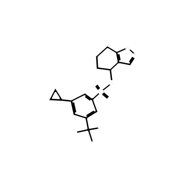 O=S(=O)(NC1CCCc2[nH]ncc21)c1cc(C2CC2)cc(C(F)(F)F)c1